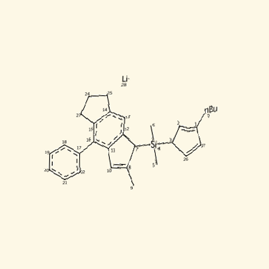 CCCCC1=CC([Si](C)(C)C2C(C)=Cc3c2cc2c(c3-c3ccccc3)CCC2)C=C1.[Li]